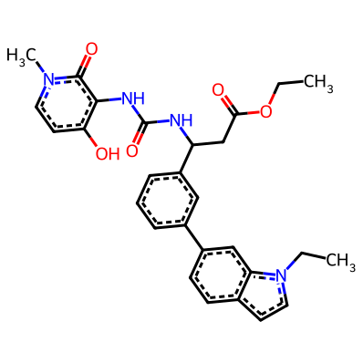 CCOC(=O)CC(NC(=O)Nc1c(O)ccn(C)c1=O)c1cccc(-c2ccc3ccn(CC)c3c2)c1